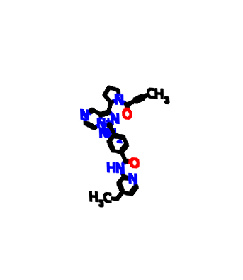 CC#CC(=O)N1CCCC1C1=C2C=NC=C[N+]2(N)C(c2ccc(C(=O)Nc3cc(CC)ccn3)cc2)=N1